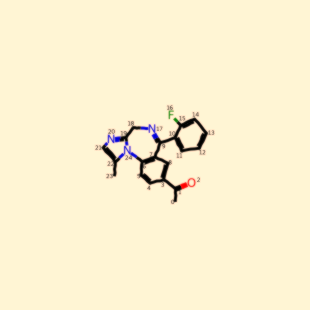 CC(=O)c1ccc2c(c1)C(c1ccccc1F)=NCc1ncc(C)n1-2